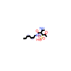 C=C/C=C\C=C/CNC(=O)C(C(C)=N)C(C(C)=O)S(=O)(=O)O